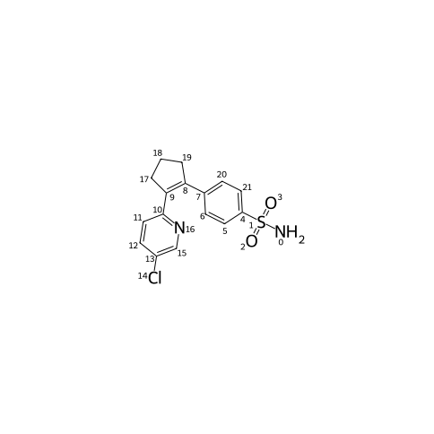 NS(=O)(=O)c1ccc(C2=C(c3ccc(Cl)cn3)CCC2)cc1